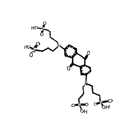 O=C1c2ccc(N(CCCS(=O)(=O)O)CCCS(=O)(=O)O)cc2C(=O)c2cc(N(CCCS(=O)(=O)O)CCCS(=O)(=O)O)ccc21